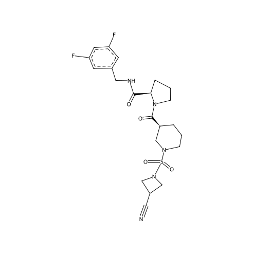 N#CC1CN(S(=O)(=O)N2CCC[C@H](C(=O)N3CCC[C@@H]3C(=O)NCc3cc(F)cc(F)c3)C2)C1